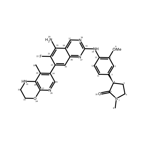 COc1cc([C@H]2CCN(C)C2=O)ccc1Nc1ncc2c(N)c(F)c(-c3cnc4c(c3C)NCCO4)cc2n1